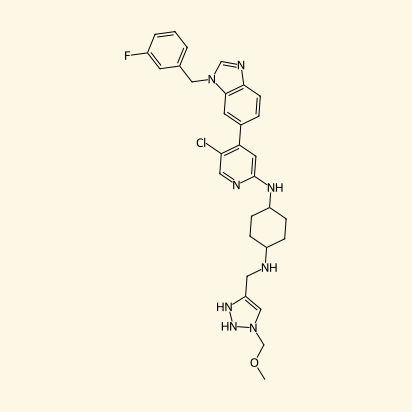 COCN1C=C(CNC2CCC(Nc3cc(-c4ccc5ncn(Cc6cccc(F)c6)c5c4)c(Cl)cn3)CC2)NN1